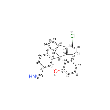 N=Cc1cccc2c1Oc1ccccc1C21C2=C(C(Cl)=CCC2)c2ccccc21